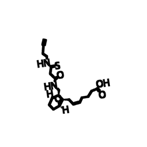 C#CCCNC(=S)CC(=O)NC[C@H]1[C@@H](C/C=C\CCCC(=O)O)[C@H]2CC[C@@H]1O2